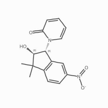 CC1(C)c2ccc([N+](=O)[O-])cc2[C@@H](n2ccccc2=O)[C@@H]1O